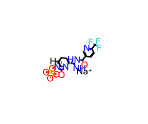 N=C(NC(=O)c1ccc(C(F)(F)F)nc1)[C@@H]1CC[C@@H]2CN1C(=O)N2OS(=O)(=O)[O-].[Na+]